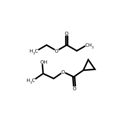 CC(O)COC(=O)C1CC1.CCOC(=O)CC